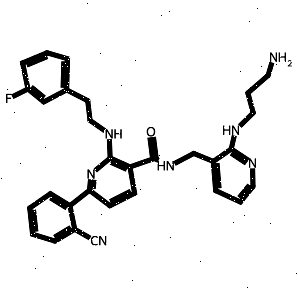 N#Cc1ccccc1-c1ccc(C(=O)NCc2cccnc2NCCCN)c(NCCc2cccc(F)c2)n1